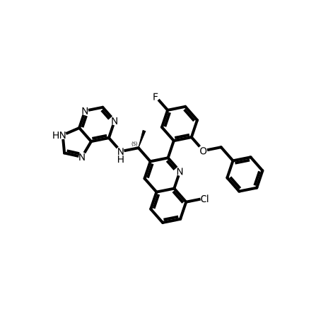 C[C@H](Nc1ncnc2[nH]cnc12)c1cc2cccc(Cl)c2nc1-c1cc(F)ccc1OCc1ccccc1